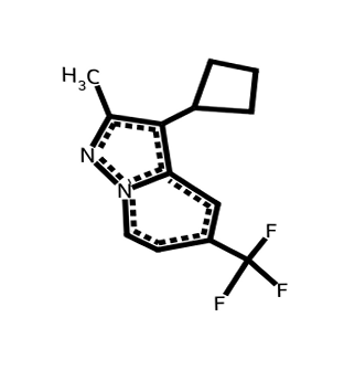 Cc1nn2ccc(C(F)(F)F)cc2c1C1CCC1